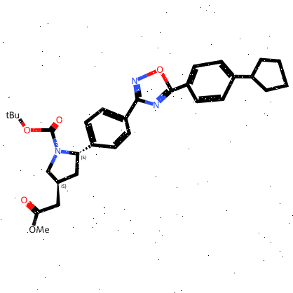 COC(=O)C[C@@H]1C[C@@H](c2ccc(-c3noc(-c4ccc(C5CCCC5)cc4)n3)cc2)N(C(=O)OC(C)(C)C)C1